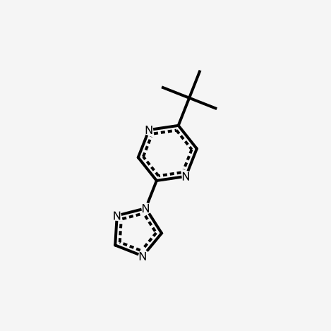 CC(C)(C)c1cnc(-n2cncn2)cn1